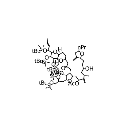 C=C1CC(CCC)OC1CC[C@@H](O)C[C@@H](C)C(=C)[C@@H](C[C@@H]1OC(C[C@@H](CO[Si](C)(C)C(C)(C)C)O[Si](C)(C)C(C)(C)C)[C@H](OC)[C@H]1CC(=O)CC1CC[C@@H]2O[C@@H]([C@H](/C=C/C)O[Si](C)(C)C(C)(C)C)C(O[Si](C)(C)C(C)(C)C)C(O[Si](C)(C)C(C)(C)C)[C@H]2O1)OC(C)=O